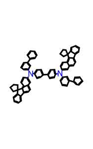 c1ccc(-c2cccc(N(c3ccc(-c4ccc(N(c5cccc(-c6ccccc6)c5)c5ccc6c7c(ccc6c5)-c5ccccc5C75CCCC5)cc4)cc3)c3ccc4c5c(ccc4c3)-c3ccccc3C53CCCC3)c2)cc1